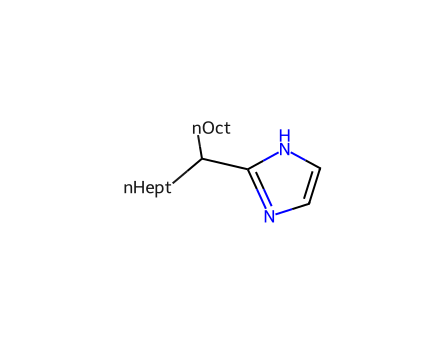 CCCCCCCCC(CCCCCCC)c1ncc[nH]1